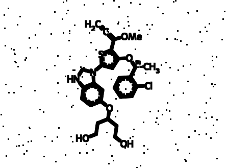 C=C=C(OC)c1sc(N2CNc3ccc(OC(CCO)CCO)cc32)cc1O[C@H](C)c1ccccc1Cl